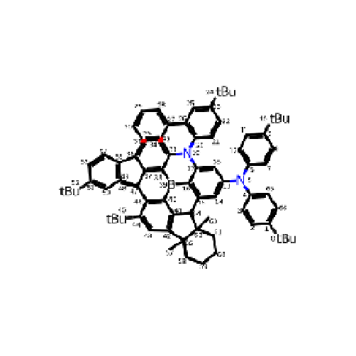 CC(C)(C)c1ccc(N(c2ccc(C(C)(C)C)cc2)c2cc3c4c(c2)N(c2ccc(C(C)(C)C)cc2-c2ccccc2)c2ccc5c6c2B4c2c4c(cc(C(C)(C)C)c2C6(C)c2cc(C(C)(C)C)ccc2-5)C2(C)CCCCC2(C)C34)cc1